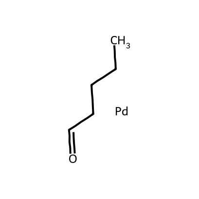 CCCCC=O.[Pd]